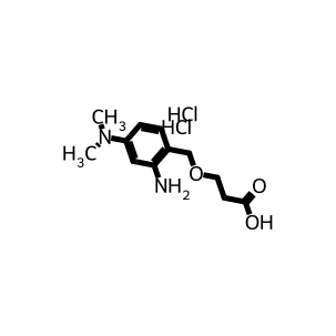 CN(C)c1ccc(COCCC(=O)O)c(N)c1.Cl.Cl